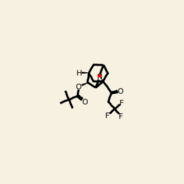 CC(C)(C)C(=O)O[C@@H]1C2C3CC(C[C@@H]1C3)CN2C(=O)CC(F)(F)F